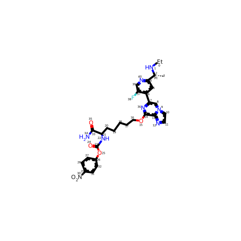 CCN[C@H](C)c1cc(-c2cn3ccnc3c(OCCCCCC(NC(=O)Oc3ccc([N+](=O)[O-])cc3)C(N)=O)n2)c(F)cn1